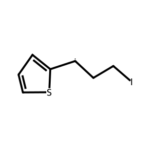 ICC[CH]c1cccs1